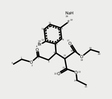 CCOC(=O)CC(c1cc(F)ccc1Br)C(C(=O)OCC)C(=O)OCC.[NaH]